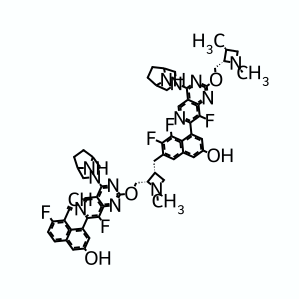 C#Cc1c(F)ccc2cc(O)cc(-c3ncc4c(N5CC6CCC(C5)N6)nc(OC[C@@H]5[C@H](Cc6cc7cc(O)cc(-c8ncc9c(N%10CC%11CCC(C%10)N%11)nc(OC[C@@H]%10[C@H](C)CN%10C)nc9c8F)c7c(F)c6F)CN5C)nc4c3F)c12